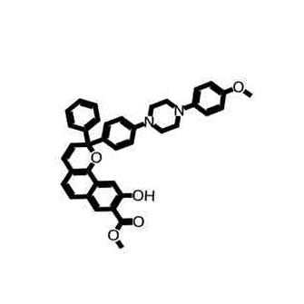 COC(=O)c1cc2ccc3c(c2cc1O)OC(c1ccccc1)(c1ccc(N2CCN(c4ccc(OC)cc4)CC2)cc1)C=C3